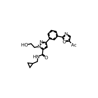 CC(=O)c1cnc(-c2cccc(-c3cc(C(=O)NCC4CC4)n(CCO)n3)c2)o1